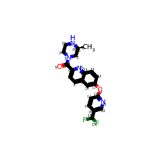 C[C@H]1CN(C(=O)c2ccc3cc(Oc4ccc(C(F)F)cn4)ccc3n2)CCN1